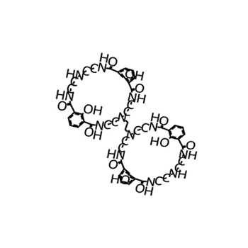 O=C1NCCNCCNC(=O)c2cccc(c2O)C(=O)NCCN(CCN2CCNC(=O)c3cccc(c3O)C(=O)NCCNCCNC(=O)c3cccc(c3O)C(=O)NCC2)CCNC(=O)c2cccc1c2O